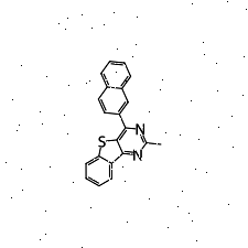 Cc1nc(-c2ccc3ccccc3c2)c2sc3ccccc3c2n1